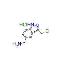 Cl.NCc1ccc2[nH]nc(CCl)c2c1